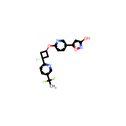 CC(F)(F)c1ccc([C@]2(F)C[C@H](Oc3ccc(-c4cc(O)no4)cn3)C2)nc1